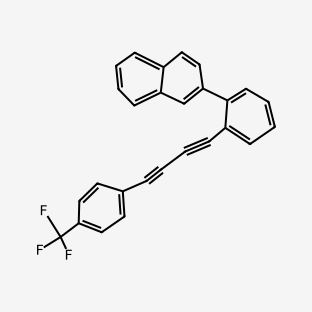 FC(F)(F)c1ccc(C#CC#Cc2ccccc2-c2ccc3ccccc3c2)cc1